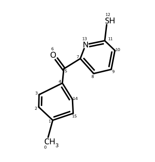 Cc1ccc(C(=O)c2cccc(S)n2)cc1